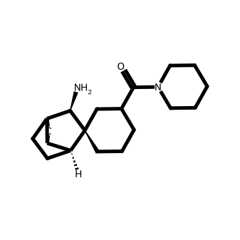 N[C@@H]1C23CC[C@@H](C2C3)[C@]12CCCC(C(=O)N1CCCCC1)C2